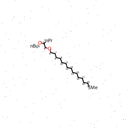 CCCCOC(CCC)COCCCCCCCCCCCCCCSC